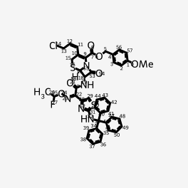 COc1ccc(COC(=O)C2=C(/C=C\CCl)CS[C@@H]3[C@H](NC(=O)/C(=N\OC(C)F)c4csc(NC(c5ccccc5)(c5ccccc5)c5ccccc5)n4)C(=O)N23)cc1